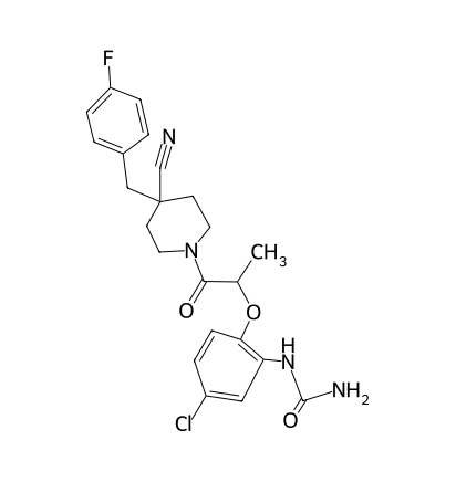 CC(Oc1ccc(Cl)cc1NC(N)=O)C(=O)N1CCC(C#N)(Cc2ccc(F)cc2)CC1